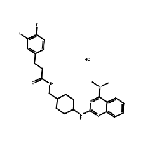 CN(C)c1nc(NC2CCC(CNC(=O)CCc3ccc(F)c(F)c3)CC2)nc2ccccc12.Cl